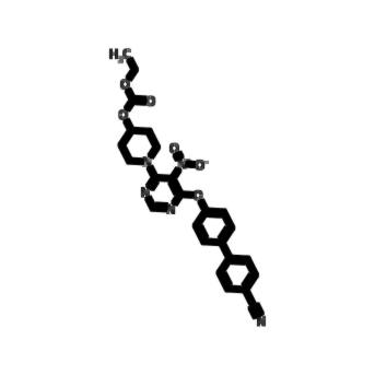 CCOC(=O)OC1CCN(c2ncnc(Oc3ccc(-c4ccc(C#N)cc4)cc3)c2[N+](=O)[O-])CC1